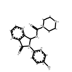 O=C(OC1c2nccnc2C(=O)N1c1ccc(Cl)cn1)N1CCOCC1